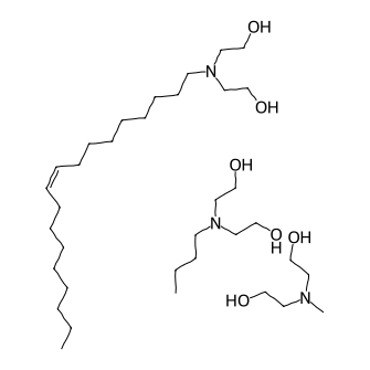 CCCCCCCC/C=C\CCCCCCCCN(CCO)CCO.CCCCN(CCO)CCO.CN(CCO)CCO